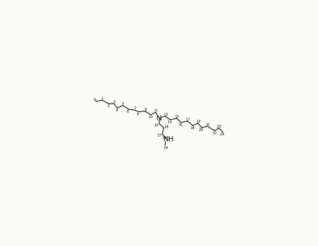 CCCCCCCCCCCCN(CCCCCCCCCCCC)CCCNC